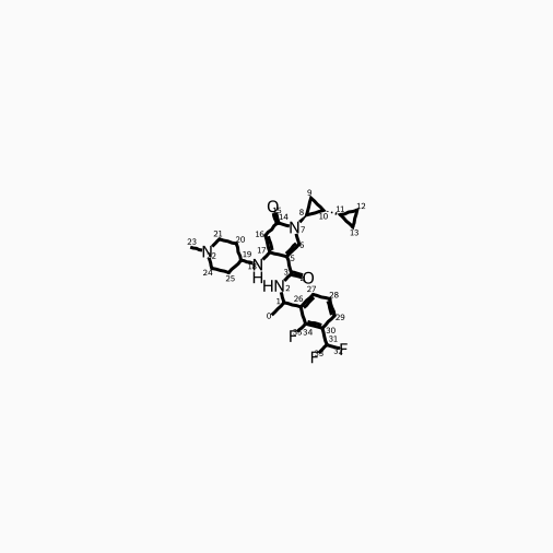 CC(NC(=O)c1cn([C@H]2C[C@@H]2C2CC2)c(=O)cc1NC1CCN(C)CC1)c1cccc(C(F)F)c1F